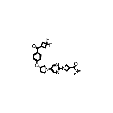 CN(C)C(=O)C1CN(c2ncc(N3CC[C@@H](Oc4ccc(C(=O)C5CC(F)(F)C5)cc4)C3)cn2)C1